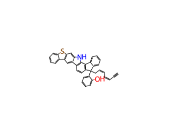 C#C/C=C\C=C/CC1(c2ccccc2O)c2ccccc2-c2c1ccc1c2[nH]c2cc3sc4ccccc4c3cc21